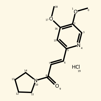 COc1cnc(/C=C/C(=O)N2CCCC2)cc1OC.Cl